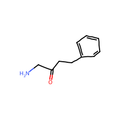 NCC(=O)CCc1ccccc1